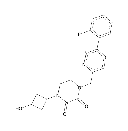 O=C1C(=O)N(C2CC(O)C2)CCN1Cc1ccc(-c2ccccc2F)nn1